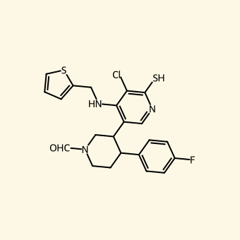 O=CN1CCC(c2ccc(F)cc2)C(c2cnc(S)c(Cl)c2NCc2cccs2)C1